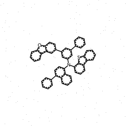 c1ccc(-c2cc(-c3ccc4oc5ccccc5c4c3)cc(N(c3ccc(-c4ccccc4)c4ccccc34)c3cccc4c3sc3ccccc34)c2)cc1